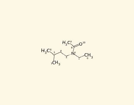 CCN(CCC(C)C)C(C)=O